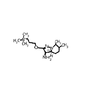 CC1CC[C@H]2C(N)C(OCCC[N+](C)(C)C)=NN2C1C